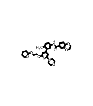 Cc1ccc(NC(=O)c2ccc3c(c2)OCCO3)cc1-c1cc(OCCOC2CCCCO2)nc(N2CCOCC2)c1